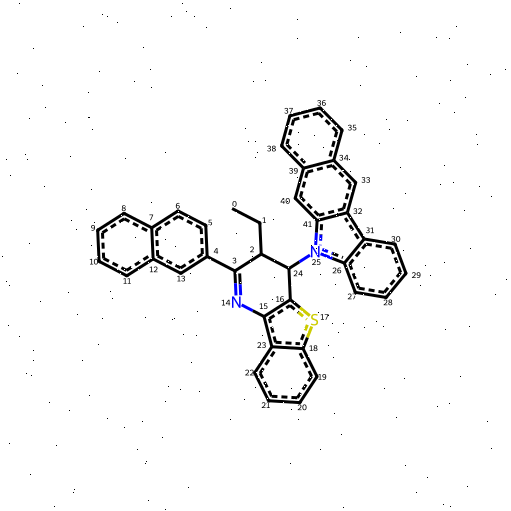 CCC1C(c2ccc3ccccc3c2)=Nc2c(sc3ccccc23)C1n1c2ccccc2c2cc3ccccc3cc21